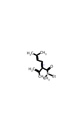 C=C(C)/C(=C\C=C(C)C)C(=O)N(C)CC